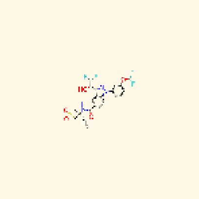 CC1(NC(=O)c2ccc3c(c2)c(C(O)C(F)F)nn3-c2cccc(OC(F)F)c2)CS(=O)(=O)C1